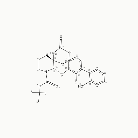 CC(C)(C)OC(=O)N1CCC[C@@]2(COCC(=O)N2)[C@@H]1Cc1cccc(-c2ccccc2O)c1F